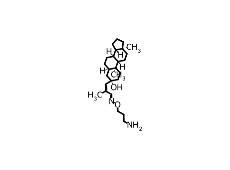 CC(C=NOCCCN)=C[C@]1(O)CC[C@@]2(C)[C@H](CC[C@H]3[C@@H]4CCC[C@@]4(C)CC[C@@H]32)C1